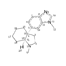 CN1CC[C@]2(c3ccc4ncn(C)c4c3)CCCC[C@H]12